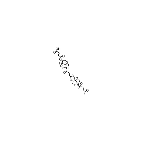 CC(=O)C=CC(=O)O[C@H]1CO[C@H]2[C@@H]1OC[C@@H]2OC(=O)C=CC(=O)O[C@H]1CO[C@H]2[C@@H]1OC[C@@H]2OC(=O)C=CC(=O)O